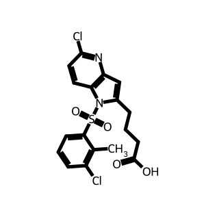 Cc1c(Cl)cccc1S(=O)(=O)n1c(CCCC(=O)O)cc2nc(Cl)ccc21